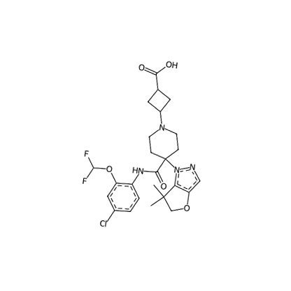 CC1(C)COc2cnn(C3(C(=O)Nc4ccc(Cl)cc4OC(F)F)CCN(C4CC(C(=O)O)C4)CC3)c21